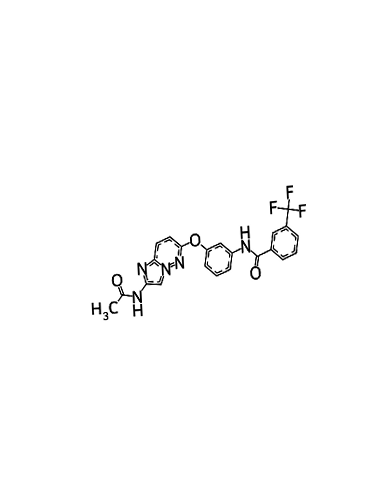 CC(=O)Nc1cn2nc(Oc3cccc(NC(=O)c4cccc(C(F)(F)F)c4)c3)ccc2n1